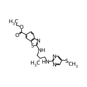 CCOC(=O)c1ccc2nc(NC[C@@H](C)CNc3ncc(SC)cn3)sc2c1